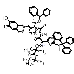 CC(C)(C)OC(=O)C(C)(C)O/N=C(\C(=O)NC1C(=O)N2C(C(=O)OC(c3ccccc3)c3ccccc3)=C(Cn3cc4cc(O)c(=O)cc-4cn3)CS[C@H]12)c1csc(NC(c2ccccc2)(c2ccccc2)c2ccccc2)n1